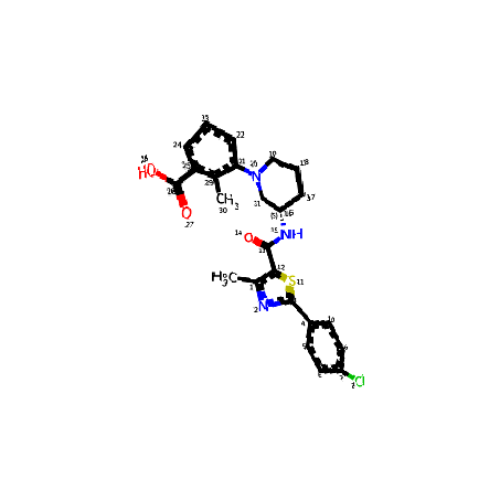 Cc1nc(-c2ccc(Cl)cc2)sc1C(=O)N[C@H]1CCCN(c2cccc(C(=O)O)c2C)C1